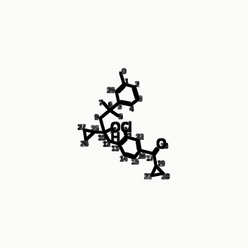 Cc1cccc(C(C)(C)CC(O)(Cc2ccc(C(=O)C3CC3)cc2Cl)C2CC2)c1